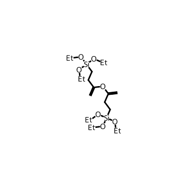 C=C(CC[Si](OCC)(OCC)OCC)OC(=C)CC[Si](OCC)(OCC)OCC